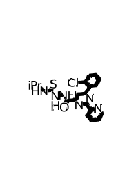 CC(C)NC(=S)NNC(=O)c1cc(-c2ccccc2Cl)nc(-c2ccccn2)n1